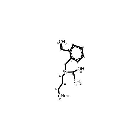 C=Cc1ccccc1CN(CCCCCCCCCCCC)C(C)O